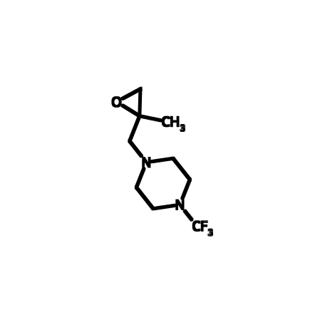 CC1(CN2CCN(C(F)(F)F)CC2)CO1